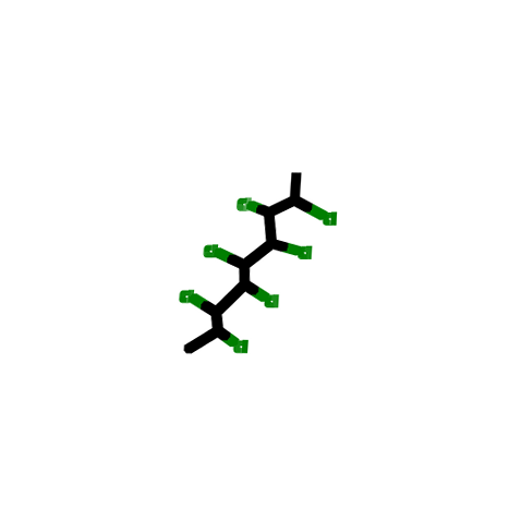 CC(Cl)C(Cl)C(Cl)C(Cl)C(Cl)C(Cl)C(C)Cl